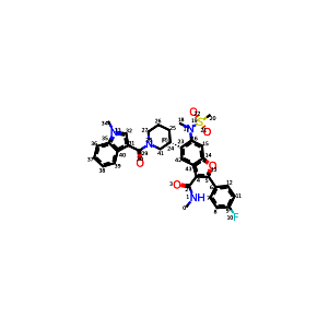 CNC(=O)c1c(-c2ccc(F)cc2)oc2cc(N(C)S(C)(=O)=O)c([C@H]3CCCN(C(=O)c4cn(C)c5ccccc45)C3)cc12